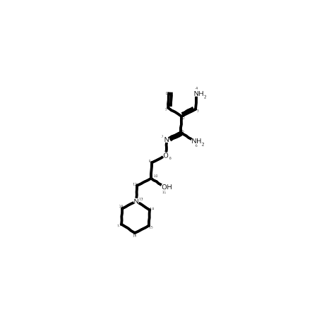 C=CC(=C\N)/C(N)=N/OCC(O)CN1CCCCC1